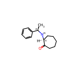 C[C@H](c1ccccc1)[N@@]1C2CCCCC(=O)[C@H]21